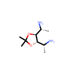 C[C@@H](N)[C@@H]1OC(C)(C)O[C@H]1[C@@H](C)N